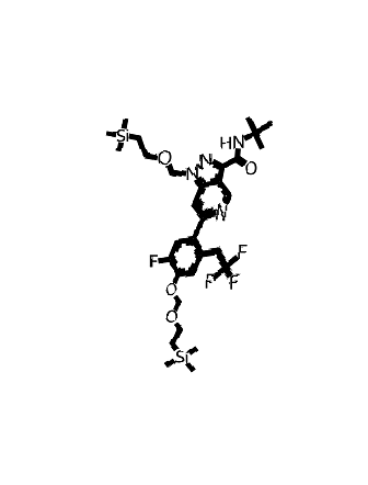 CC(C)(C)NC(=O)c1nn(COCC[Si](C)(C)C)c2cc(-c3cc(F)c(OCOCC[Si](C)(C)C)cc3CC(F)(F)F)ncc12